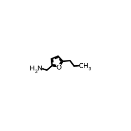 CCCc1ccc(CN)o1